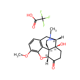 COc1ccc2c3c1O[C@H]1C(=O)CC[C@@]4(O)[C@@H](C2)N(C)CC[C@]314.O=C(O)C(F)(F)F